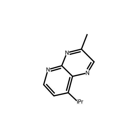 Cc1cnc2c(C(C)C)ccnc2n1